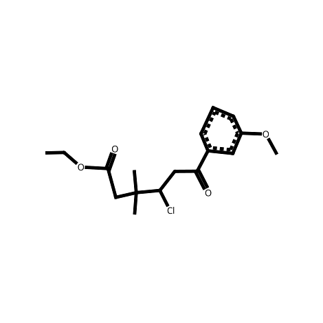 CCOC(=O)CC(C)(C)C(Cl)CC(=O)c1cccc(OC)c1